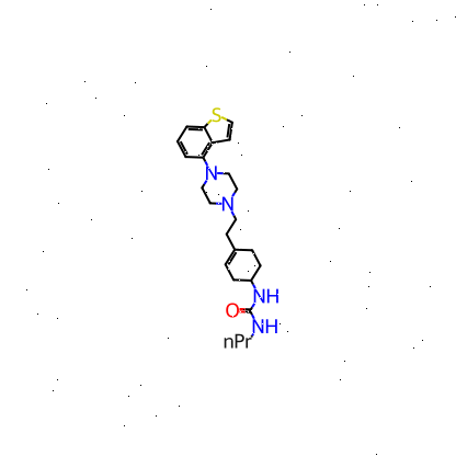 CCCNC(=O)NC1CC=C(CCN2CCN(c3cccc4sccc34)CC2)CC1